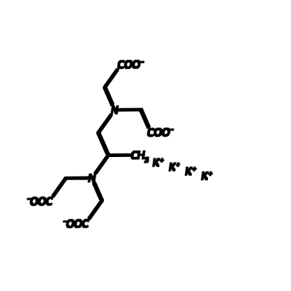 CC(CN(CC(=O)[O-])CC(=O)[O-])N(CC(=O)[O-])CC(=O)[O-].[K+].[K+].[K+].[K+]